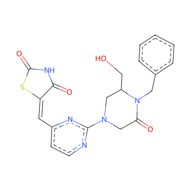 O=C1NC(=O)/C(=C\c2ccnc(N3CC(=O)N(Cc4ccccc4)C(CO)C3)n2)S1